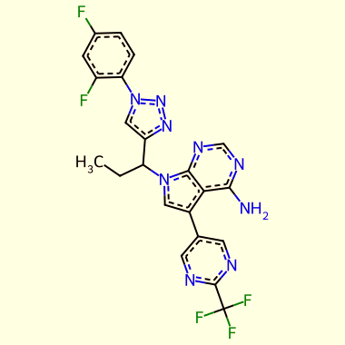 CCC(c1cn(-c2ccc(F)cc2F)nn1)n1cc(-c2cnc(C(F)(F)F)nc2)c2c(N)ncnc21